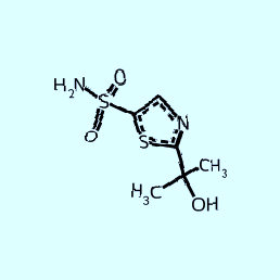 CC(C)(O)c1ncc(S(N)(=O)=O)s1